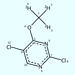 [2H]C([2H])([2H])Oc1nc(Cl)ncc1Cl